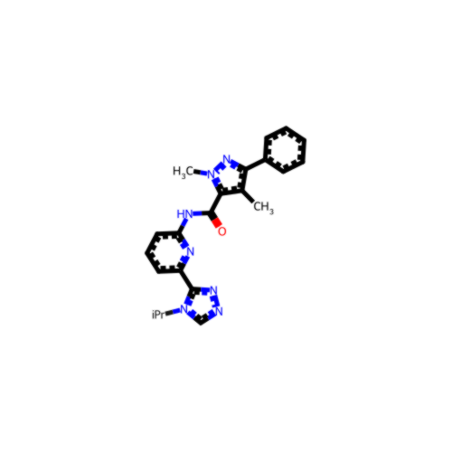 Cc1c(-c2ccccc2)nn(C)c1C(=O)Nc1cccc(-c2nncn2C(C)C)n1